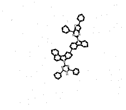 c1ccc(C2=NC(n3c4ccc(-c5ccc6c(c5)c5ccccc5n6-c5nc(-c6ccccc6)c6oc(-c7ccccc7)cc6n5)cc4c4c5ccccc5ccc43)=NC(c3ccccc3)N2)cc1